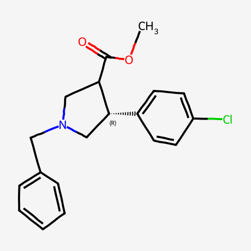 COC(=O)C1CN(Cc2ccccc2)C[C@H]1c1ccc(Cl)cc1